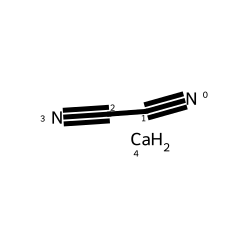 N#CC#N.[CaH2]